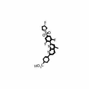 Cc1cc(-c2c(F)cc(S(=O)(=O)N3CC[C@H](F)C3)cc2F)nc2nc(C3=CCC(C(=O)O)CC3)ccc12